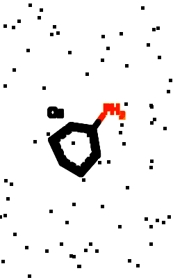 Pc1ccccc1.[Os]